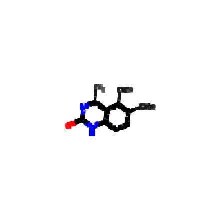 COc1ccc2[nH]c(=O)nc(C(F)(F)F)c2c1OC